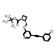 CC(C)(C)OC(=O)N1CC[C@H]1COc1cncc(C#Cc2cccc(Cl)c2)c1